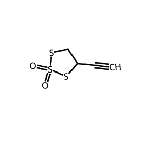 C#CC1CSS(=O)(=O)S1